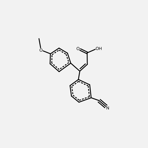 COc1ccc(/C(=C\C(=O)O)c2cccc(C#N)c2)cc1